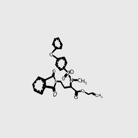 C=CCOC(=O)C(CCN1C(=O)c2ccccc2C1=O)N(C)S(=O)(=O)c1ccc(Oc2ccccc2)cc1